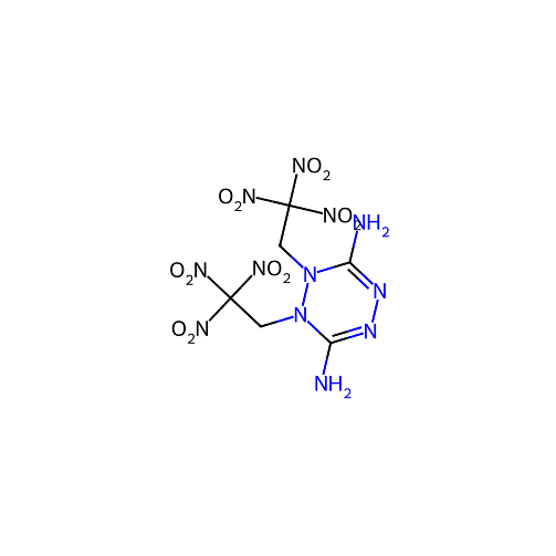 NC1=NN=C(N)N(CC([N+](=O)[O-])([N+](=O)[O-])[N+](=O)[O-])N1CC([N+](=O)[O-])([N+](=O)[O-])[N+](=O)[O-]